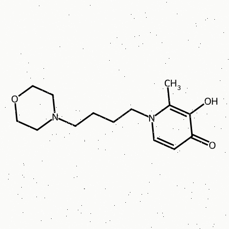 Cc1c(O)c(=O)ccn1CCCCN1CCOCC1